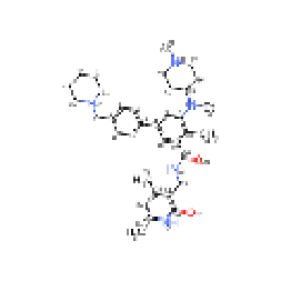 CCN(c1cc(-c2ccc(CN3CCCCC3)cc2)cc(C(=O)NCc2c(C)cc(C)[nH]c2=O)c1C)C1CCN(C(C)=O)CC1